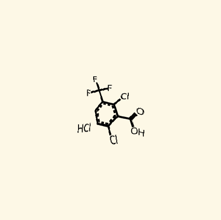 Cl.O=C(O)c1c(Cl)ccc(C(F)(F)F)c1Cl